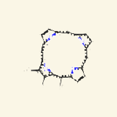 CCCCCCCCc1c(CCCCCCCC)c2c(CCCCCCCC)c3nc(cc4ccc(cc5nc(cc1n2CCCCCCCC)C=C5)[nH]4)C=C3